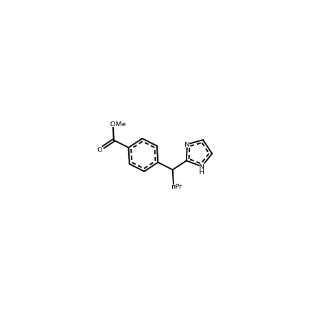 CCCC(c1ccc(C(=O)OC)cc1)c1ncc[nH]1